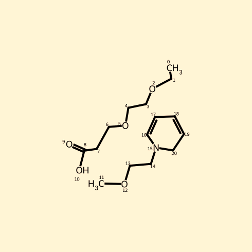 CCOCCOCCC(=O)O.COCCN1C=CC=CC1